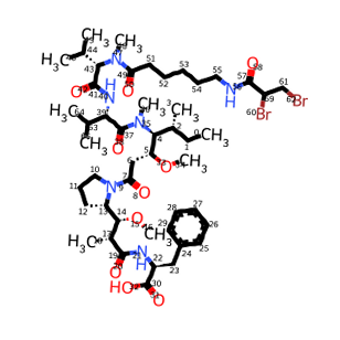 CC[C@@H](C)[C@@H]([C@@H](CC(=O)N1CCC[C@H]1[C@H](OC)[C@@H](C)C(=O)N[C@@H](Cc1ccccc1)C(=O)O)OC)N(C)C(=O)[C@@H](NC(=O)[C@H](C(C)C)N(C)C(=O)CCCCCNC(=O)C(Br)CBr)C(C)C